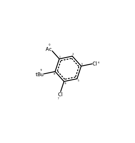 CC(=O)c1cc(Cl)cc(Cl)c1C(C)(C)C